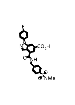 CNS(=O)(=O)c1ccc(CNC(=O)c2cc(C(=O)O)cc3c2cnn3-c2ccc(F)cc2)cc1